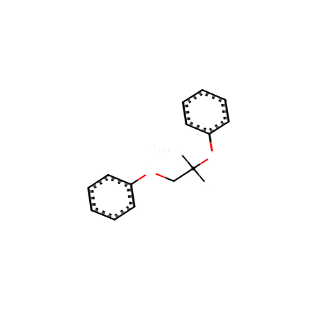 CCOC(=O)C(COc1ccccc1)(Oc1ccccc1)C(=O)OCC